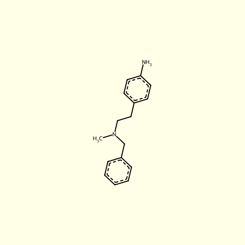 CN(CCc1ccc(N)cc1)Cc1ccccc1